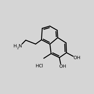 Cc1c(O)c(O)cc2cccc(CCN)c12.Cl